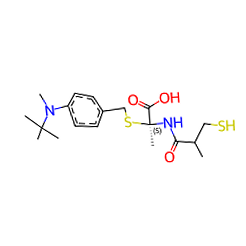 CC(CS)C(=O)N[C@@](C)(SCc1ccc(N(C)C(C)(C)C)cc1)C(=O)O